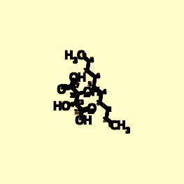 CCCCCCCCCC.O=C(O)C(O)C(O)C(=O)O